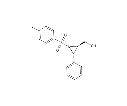 Cc1ccc(S(=O)(=O)N2[C@@H](CO)[C@@H]2c2ccccc2)cc1